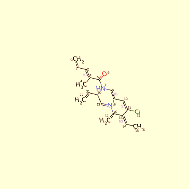 C=C/C=C(\C)C(=O)N/C=C/C=C(Cl)\C(=C/C)C(=C)N=CCC=C